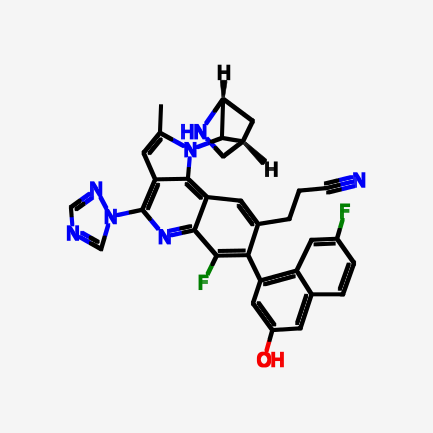 Cc1cc2c(-n3cncn3)nc3c(F)c(-c4cc(O)cc5ccc(F)cc45)c(CCC#N)cc3c2n1C1[C@H]2CN[C@@H]1C2